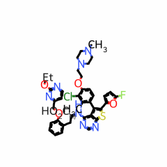 CCOc1nccc(COc2ccccc2C[C@@H](Nc2ncnc3sc(-c4ccc(F)o4)c(-c4ccc(OCCN5CCN(C)CC5)c(Cl)c4C)c23)C(=O)O)n1